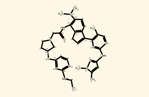 Cc1cnc(Nc2cc(C)n(C)n2)nc1C1=CCc2c1ccc(N(C)C)c2NC(=O)CN1CC[C@H](Oc2ccnc(NCC(F)(F)F)n2)C1